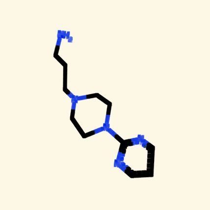 NCCCN1CCN(c2ncccn2)CC1